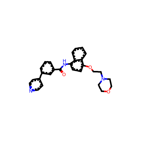 O=C(Nc1ccc(OCCN2CCOCC2)c2ccccc12)c1cccc(-c2ccncc2)c1